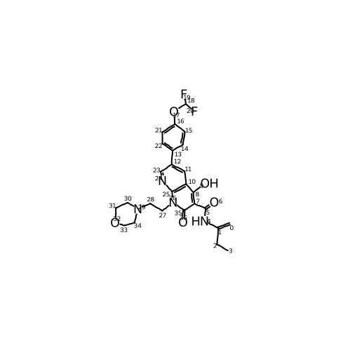 C=C(CC)NC(=O)c1c(O)c2cc(-c3ccc(OC(F)F)cc3)cnc2n(CCN2CCOCC2)c1=O